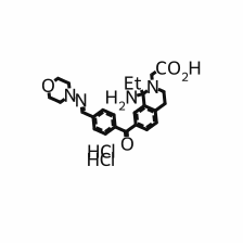 CCC1(N)c2cc(C(=O)c3ccc(C=NN4CCOCC4)cc3)ccc2CCN1CC(=O)O.Cl.Cl